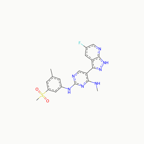 CNc1nc(Nc2cc(C)cc(S(C)(=O)=O)c2)ncc1-c1n[nH]c2ncc(F)cc12